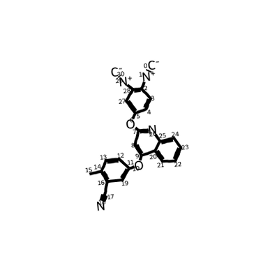 [C-]#[N+]c1ccc(Oc2cc(Oc3ccc(C)c(C#N)c3)c3ccccc3n2)cc1[N+]#[C-]